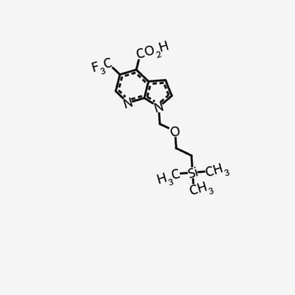 C[Si](C)(C)CCOCn1ccc2c(C(=O)O)c(C(F)(F)F)cnc21